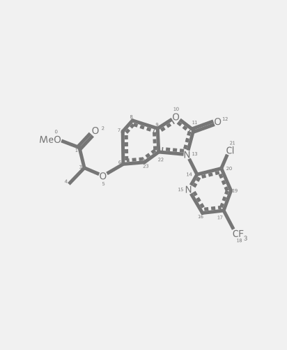 COC(=O)C(C)Oc1ccc2oc(=O)n(-c3ncc(C(F)(F)F)cc3Cl)c2c1